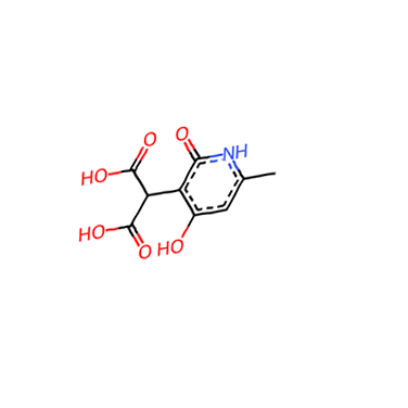 Cc1cc(O)c(C(C(=O)O)C(=O)O)c(=O)[nH]1